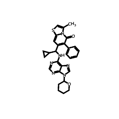 Cc1csc2cc(C(Nc3ncnc4c3ncn4C3CCCCO3)C3CC3)c(-c3ccccc3)c(=O)n12